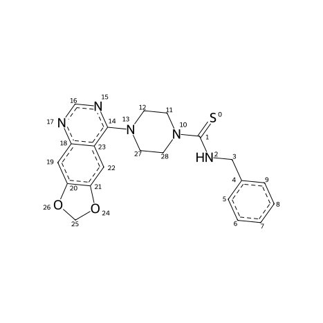 S=C(NCc1ccccc1)N1CCN(c2ncnc3cc4c(cc23)OCO4)CC1